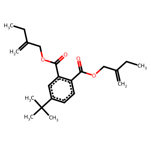 C=C(CC)COC(=O)c1ccc(C(C)(C)C)cc1C(=O)OCC(=C)CC